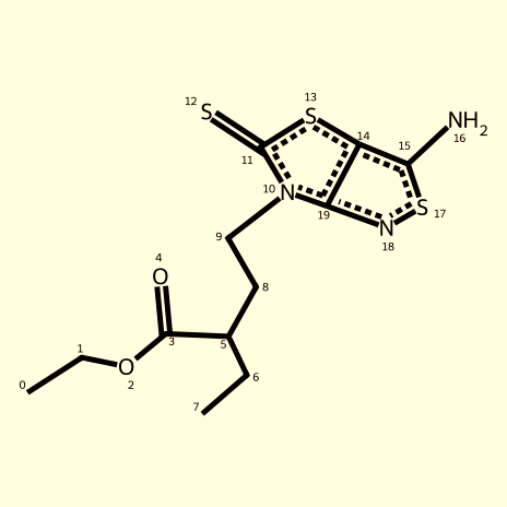 CCOC(=O)C(CC)CCn1c(=S)sc2c(N)snc21